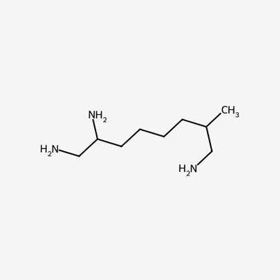 CC(CN)CCCCC(N)CN